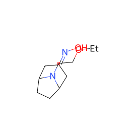 CCOCCN1C2CCC1CC(=NO)C2